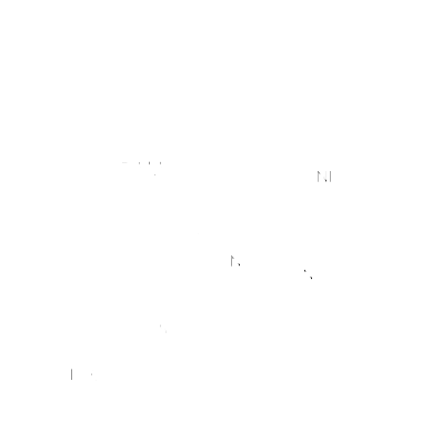 CCOC(=O)c1cc(Nc2ccccc2)c2ncc(-c3ccc(C)s3)n2c1